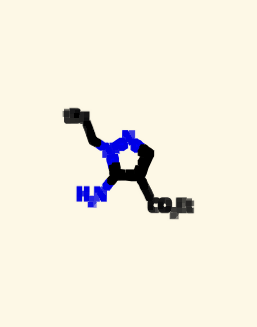 CCOC(=O)c1cnn(CC(C)(C)C)c1N